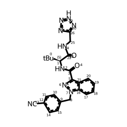 CC(C)(C)[C@H](NC(=O)c1nn(Cc2ccc(C#N)cc2)c2ccccc12)C(=O)NCc1nn[nH]n1